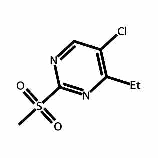 CCc1nc(S(C)(=O)=O)ncc1Cl